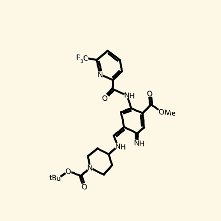 COC(=O)C1=CC(=N)/C(=C\NC2CCN(C(=O)OC(C)(C)C)CC2)C=C1NC(=O)c1cccc(C(F)(F)F)n1